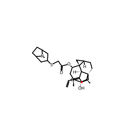 C=C[C@]1(C)C[C@@H](OC(=O)CSC2CC3CCC(C2)N3C)[C@]23C[C@@H]2CC[C@]2(CCC(=O)[C@H]23)[C@@H](C)[C@@H]1O